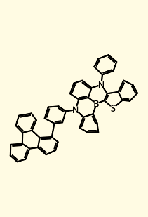 c1ccc(N2c3cccc4c3B(c3ccccc3N4c3cccc(-c4cccc5c6ccccc6c6ccccc6c45)c3)c3sc4ccccc4c32)cc1